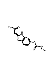 CC(C)(C)NC(=O)Oc1ccc2c(c1)NC(=CC(=O)C(F)(F)F)S2